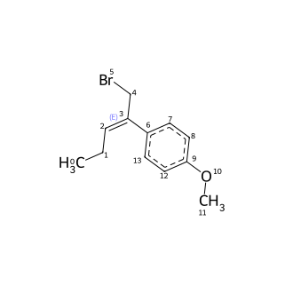 CC/C=C(/CBr)c1ccc(OC)cc1